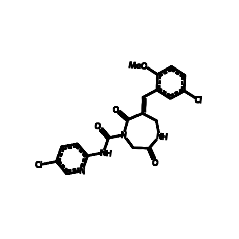 COc1ccc(Cl)cc1C=C1CNC(=O)CN(C(=O)Nc2ccc(Cl)cn2)C1=O